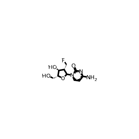 Nc1ccn(C2O[C@H](CO)[C@@H](O)[C@@H]2CF)c(=O)n1